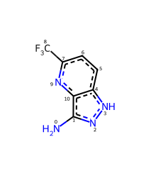 Nc1n[nH]c2ccc(C(F)(F)F)nc12